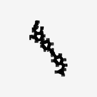 Fc1cc(-c2ccc(C#Cc3ccc(CC4CC4)cc3)cc2)cc(F)c1N=C=S